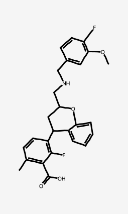 COc1cc(CNCC2CC(c3ccc(C)c(C(=O)O)c3F)c3ccccc3O2)ccc1F